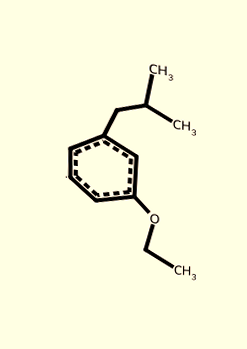 CCOc1c[c]cc(CC(C)C)c1